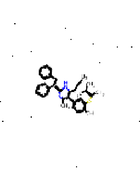 CCCC1=C(c2ccc(C)c(SC(C)=C(C)C)c2)C(C)=N/C(=C(/Cc2ccccc2)c2ccccc2)N1